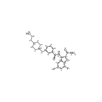 NC(=O)c1oc2c(F)cc(F)cc2c1NC(=O)c1cccc(CN2CCC(CCO)CC2)c1